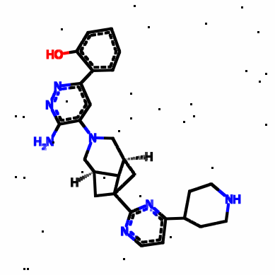 Nc1nnc(-c2ccccc2O)cc1N1C[C@@H]2CC3(c4nccc(C5CCNCC5)n4)C[C@H](C1)C23